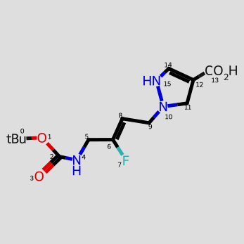 CC(C)(C)OC(=O)NCC(F)=CCN1CC(C(=O)O)=CN1